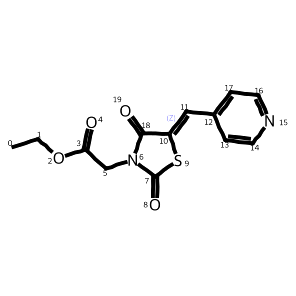 CCOC(=O)CN1C(=O)S/C(=C\c2ccncc2)C1=O